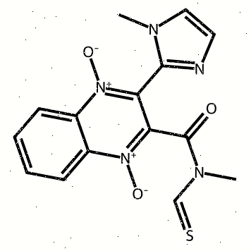 CN(C=S)C(=O)c1c(-c2nccn2C)[n+]([O-])c2ccccc2[n+]1[O-]